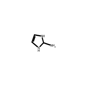 NC1NC=CN1